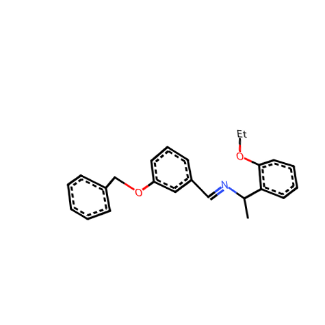 CCOc1ccccc1C(C)N=Cc1cccc(OCc2ccccc2)c1